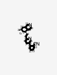 C[C@H]1[C@H](/C=C/c2ccc(-c3ccccc3C#N)cn2)c2ccncc2C[C@@H]1C